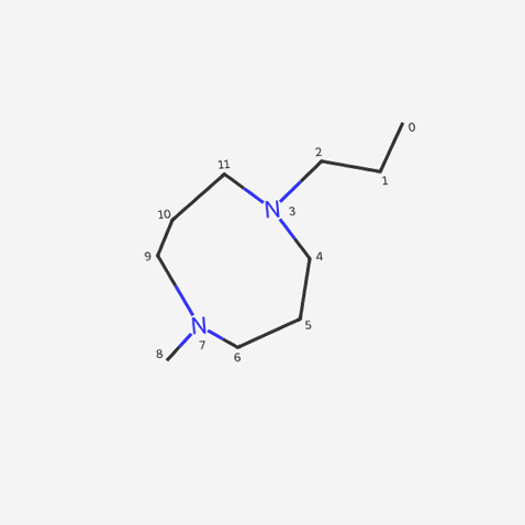 CCCN1CCCN(C)CCC1